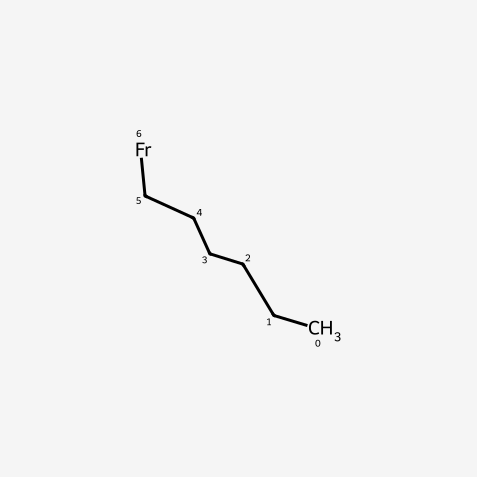 CCCCC[CH2][Fr]